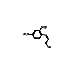 CC(C)(C)O/N=C\c1ccc(S(=O)(=O)O)cc1S(=O)(=O)O